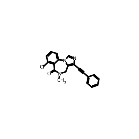 CN1Cc2c(C#Cc3ccccc3)ncn2-c2cccc(Cl)c2C1=O